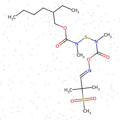 CCCCC(CC)COC(=O)N(C)SN(C)C(=O)ON=CC(C)(C)S(C)(=O)=O